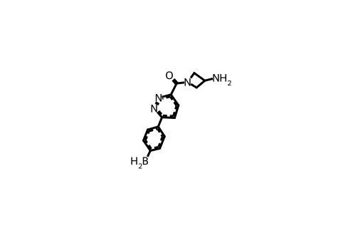 Bc1ccc(-c2ccc(C(=O)N3CC(N)C3)nn2)cc1